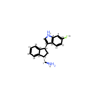 NC[C@H]1C[C@H](c2c[nH]c3cc(F)ccc23)c2ccccc21